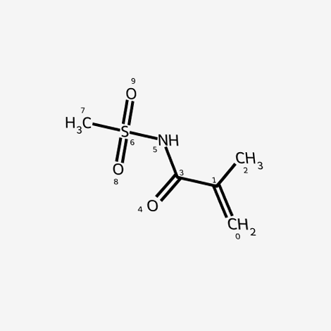 C=C(C)C(=O)NS(C)(=O)=O